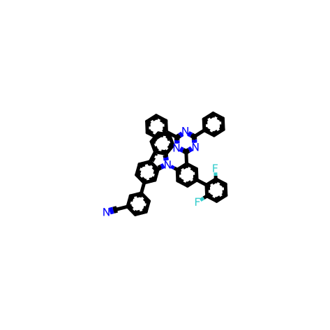 N#Cc1cccc(-c2ccc3c4ccccc4n(-c4ccc(-c5c(F)cccc5F)cc4-c4nc(-c5ccccc5)nc(-c5ccccc5)n4)c3c2)c1